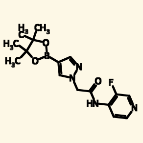 CC1(C)OB(c2cnn(CC(=O)Nc3ccncc3F)c2)OC1(C)C